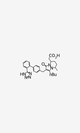 CCCCc1c(Cc2ccc(-c3ccccc3-c3nnn[nH]3)cc2)c(=O)n2n1C(C)CCC2CC(=O)O